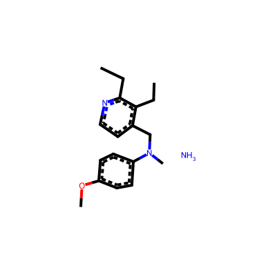 CCc1nccc(CN(C)c2ccc(OC)cc2)c1CC.N